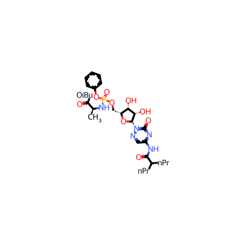 CCCC(CCC)C(=O)Nc1cnn([C@@H]2O[C@H](COP(=O)(N[C@@H](C)C(=O)OCC(C)C)Oc3ccccc3)[C@H](O)[C@@H]2O)c(=O)n1